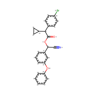 N#CC(OC(=O)C(c1ccc(Br)cc1)C1CC1)c1cccc(Oc2ccccc2)c1